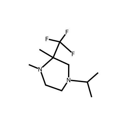 CC(C)N1CCN(C)C(C)(C(F)(F)F)C1